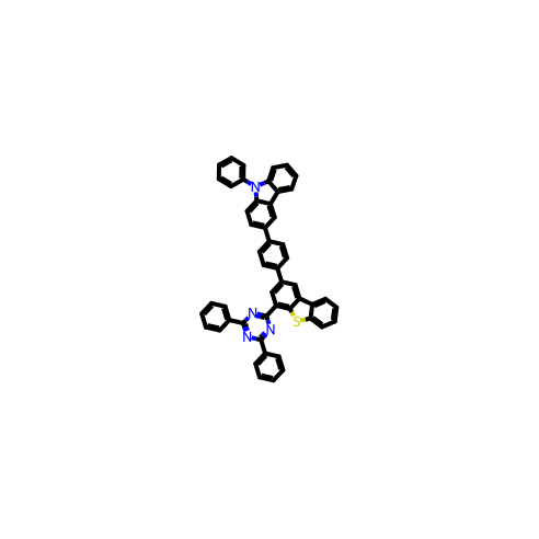 c1ccc(-c2nc(-c3ccccc3)nc(-c3cc(-c4ccc(-c5ccc6c(c5)c5ccccc5n6-c5ccccc5)cc4)cc4c3sc3ccccc34)n2)cc1